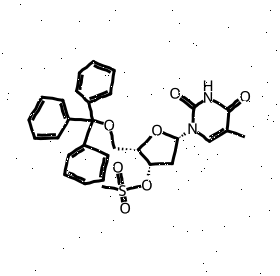 Cc1cn([C@@H]2C[C@H](OS(C)(=O)=O)[C@H](COC(c3ccccc3)(c3ccccc3)c3ccccc3)O2)c(=O)[nH]c1=O